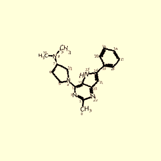 Cc1nc(N2CC[C@@H](N(C)C)C2)c2[nH]c(-c3ccccc3)cc2n1